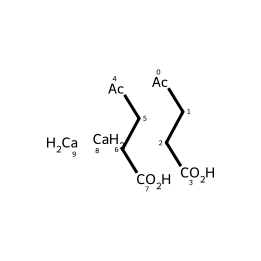 CC(=O)CCC(=O)O.CC(=O)CCC(=O)O.[CaH2].[CaH2]